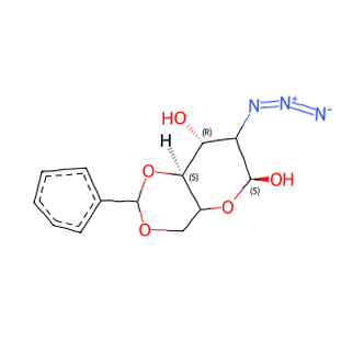 [N-]=[N+]=NC1[C@@H](O)[C@@H]2OC(c3ccccc3)OCC2O[C@@H]1O